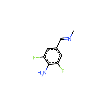 C/N=C/c1cc(F)c(N)c(F)c1